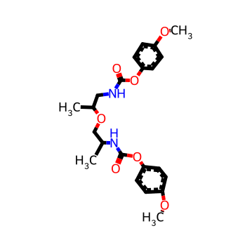 COc1ccc(OC(=O)NCC(C)OCC(C)NC(=O)Oc2ccc(OC)cc2)cc1